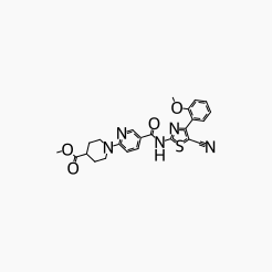 COC(=O)C1CCN(c2ccc(C(=O)Nc3nc(-c4ccccc4OC)c(C#N)s3)cn2)CC1